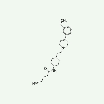 CCc1cccc(C2=CCN(CCC3CCC(NC(=O)CCCC#N)CC3)CC2)c1